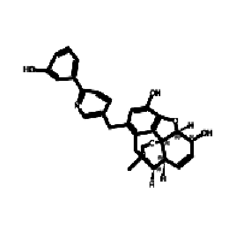 CN1CC[C@]23c4c5c(Cc6ccc(-c7cccc(O)c7)nc6)cc(O)c4O[C@H]2[C@@H](O)C=C[C@H]3[C@H]1C5